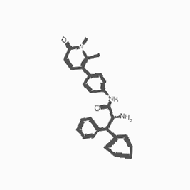 Cc1c(-c2ccc(NC(=O)[C@@H](N)C(c3ccccc3)c3ccccc3)cc2)ccc(=O)n1C